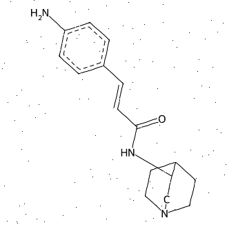 Nc1ccc(C=CC(=O)NC2CN3CCC2CC3)cc1